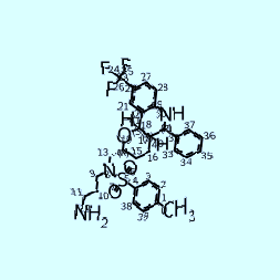 Cc1ccc(S(=O)(=O)N(CCCN)C[C@H]2CC[C@@H]3[C@H](O2)c2cc(C(F)(F)F)ccc2N[C@H]3c2ccccc2)cc1